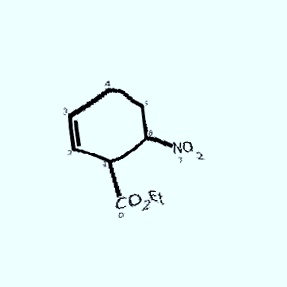 CCOC(=O)C1C=CCCC1[N+](=O)[O-]